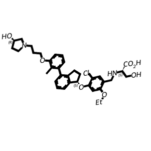 CCOc1cc(O[C@H]2CCc3c(-c4cccc(OCCCN5CC[C@@H](O)C5)c4C)cccc32)c(Cl)cc1CN[C@@H](CO)C(=O)O